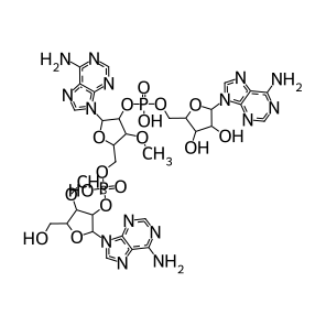 COC1C(CO)OC(n2cnc3c(N)ncnc32)C1OP(=O)(O)OCC1OC(n2cnc3c(N)ncnc32)C(OP(=O)(O)OCC2OC(n3cnc4c(N)ncnc43)C(O)C2O)C1OC